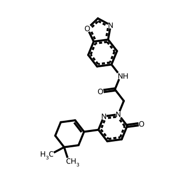 CC1(C)CCC=C(c2ccc(=O)n(CC(=O)Nc3ccc4ocnc4c3)n2)C1